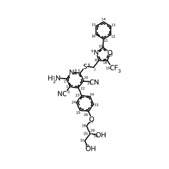 N#Cc1c(N)nc(SCc2nc(-c3ccccc3)oc2C(F)(F)F)c(C#N)c1-c1ccc(OC[C@@H](O)CO)cc1